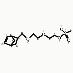 CS(=O)(=O)OCCOCCOCC1CC2C=CC1C2